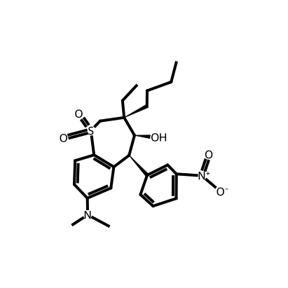 CCCC[C@]1(CC)CS(=O)(=O)c2ccc(N(C)C)cc2[C@H](c2cccc([N+](=O)[O-])c2)[C@@H]1O